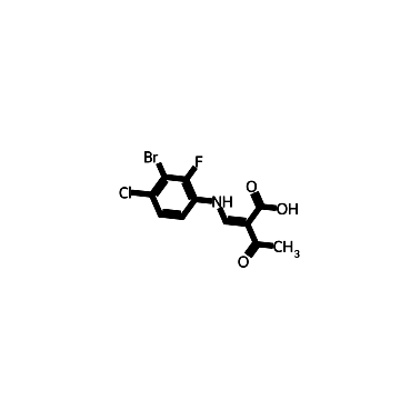 CC(=O)/C(=C/Nc1ccc(Cl)c(Br)c1F)C(=O)O